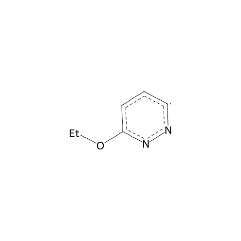 CCOc1cc[c]nn1